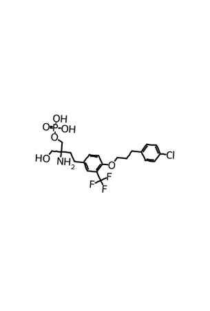 NC(CO)(CCc1ccc(OCCCc2ccc(Cl)cc2)c(C(F)(F)F)c1)COP(=O)(O)O